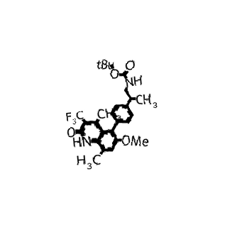 COc1cc(C)c2[nH]c(=O)c(C(F)(F)F)c(C)c2c1-c1ccc(C(C)CNC(=O)OC(C)(C)C)cc1